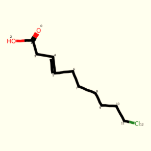 O=C(O)C/C=C/CCCCCCCl